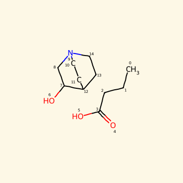 CCCC(=O)O.OC1CN2CCC1CC2